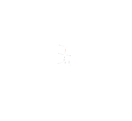 CO[Si](C)(C)[SiH2]C